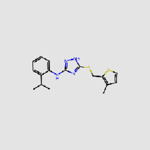 Cc1ccsc1CSc1nc(Nc2ccccc2C(C)C)n[nH]1